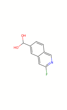 OC(O)c1ccc2cnc(F)cc2c1